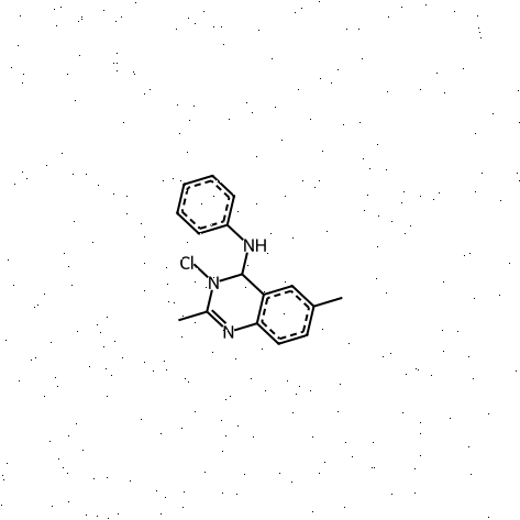 CC1=Nc2ccc(C)cc2C(Nc2ccccc2)N1Cl